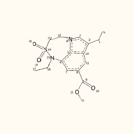 CCc1cn2c3c(cc(C(=O)OC)cc13)N(CC)S(=O)(=O)CC2